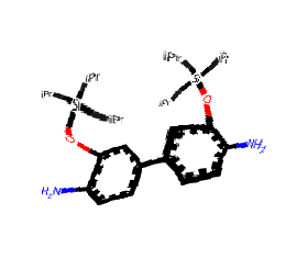 CC(C)[Si](Oc1cc(-c2ccc(N)c(O[Si](C(C)C)(C(C)C)C(C)C)c2)ccc1N)(C(C)C)C(C)C